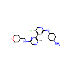 Cc1ncc(NCC2CCOCC2)nc1-c1cc(NC2CCC(N)CC2)ncc1Cl